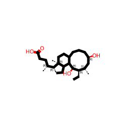 CC[C@@H]1[C@@H](C)C[C@H](O)CCCC2CC[C@@]3(C)C(CC[C@@H]3[C@H](C)CCC(=O)O)C2[C@@H]1O